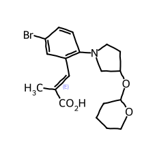 C/C(=C\c1cc(Br)ccc1N1CCC(OC2CCCCO2)C1)C(=O)O